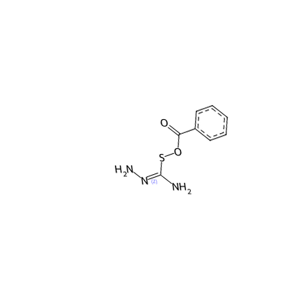 N/N=C(/N)SOC(=O)c1ccccc1